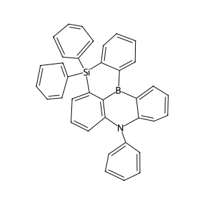 c1ccc(N2c3ccccc3B3c4ccccc4[Si](c4ccccc4)(c4ccccc4)c4cccc2c43)cc1